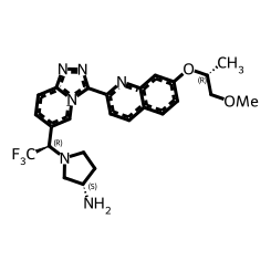 COC[C@@H](C)Oc1ccc2ccc(-c3nnc4ccc([C@@H](N5CC[C@H](N)C5)C(F)(F)F)cn34)nc2c1